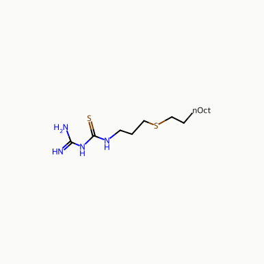 CCCCCCCCCCSCCCNC(=S)NC(=N)N